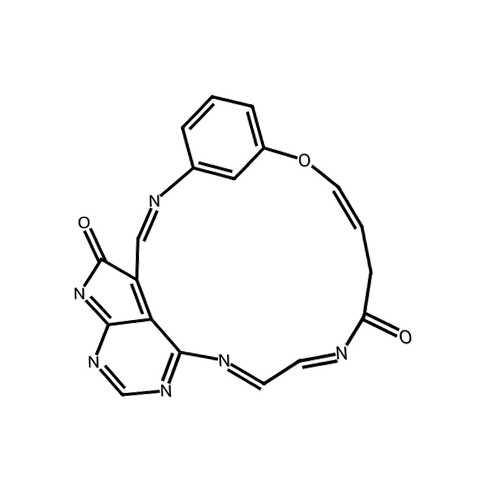 O=C1C/C=C\Oc2cccc(c2)/N=C\C2=c3c(ncnc3=NC2=O)/N=C/C=N/1